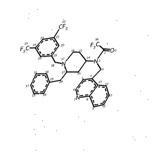 O=C(N(Cc1ccnc2ccccc12)C1CCN(Cc2cc(C(F)(F)F)cc(C(F)(F)F)c2)C(Cc2ccccc2)C1)C(F)(F)F